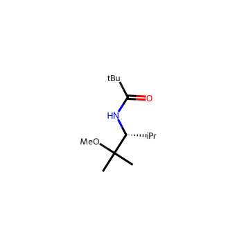 COC(C)(C)[C@H](NC(=O)C(C)(C)C)C(C)C